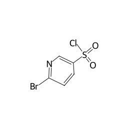 O=S(=O)(Cl)c1ccc(Br)nc1